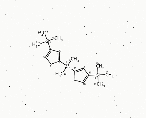 C[Si](C)(C)C1=CC[C]([Zr]([CH3])([CH3])[C]2=CC([Si](C)(C)C)=CC2)=C1